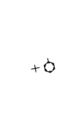 Clc1ccccc1.FC(F)(F)Br